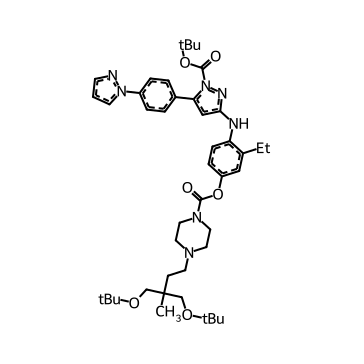 CCc1cc(OC(=O)N2CCN(CCC(C)(COC(C)(C)C)COC(C)(C)C)CC2)ccc1Nc1cc(-c2ccc(-n3cccn3)cc2)n(C(=O)OC(C)(C)C)n1